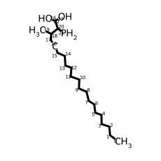 CCCCCCCCCCCCCCCCCCC(C)C(P)C(O)O